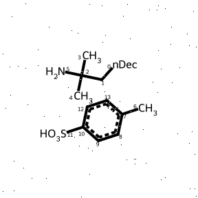 CCCCCCCCCCCC(C)(C)N.Cc1ccc(S(=O)(=O)O)cc1